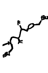 CN(CC(F)C(F)COCC(C)(C)C)CC(C)(C)C